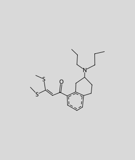 CCCN(CCC)C1CCc2cccc(C(=O)C=C(SC)SC)c2C1